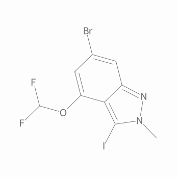 Cn1nc2cc(Br)cc(OC(F)F)c2c1I